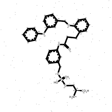 C=P(O)(OCc1cccc(OC(=O)CCc2ccccc2OCc2cccc(Oc3ccccc3)c2)c1)OC[C@H](N)C(=O)O